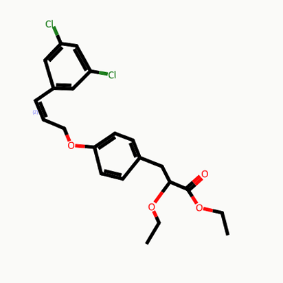 CCOC(=O)C(Cc1ccc(OC/C=C\c2cc(Cl)cc(Cl)c2)cc1)OCC